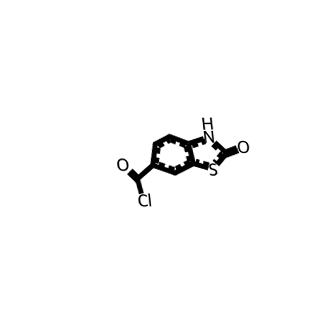 O=C(Cl)c1ccc2[nH]c(=O)sc2c1